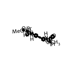 COC(=O)N[C@H](C(=O)N1CCC[C@H]1c1ncc(-c2ccc(C#Cc3ccc4nc([C@@H]5CC6(CCOCC6)CN5C(=O)[C@@H](C)C(C)C)[nH]c4c3)cc2)[nH]1)C(C)C